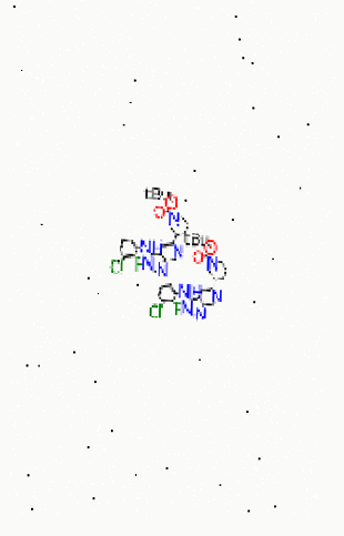 CC(C)(C)OC(=O)N1CCCC(c2cc3c(Nc4cccc(Cl)c4F)ncnc3cn2)C1.CC(C)(C)OC(=O)N1CCC[C@H](c2cc3c(Nc4cccc(Cl)c4F)ncnc3cn2)C1